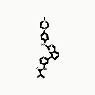 C=C(C)C(=O)Nc1ccnc(-c2cccc3cnc(Nc4ccc(N5CCN(C)CC5)cc4)nc23)c1